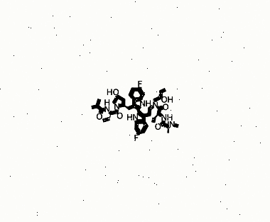 CCC(O)CN(CCc1c(-c2[nH]c3cc(F)ccc3c2C[C@@H]2CC(O)CN2C(=O)[C@H](CC)NC(=O)C(C)C)[nH]c2cc(F)ccc12)C(=O)[C@H](CC)NC(=O)[C@H](C)NC